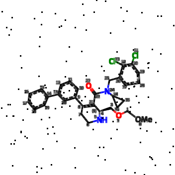 COCOC[C@H]1NCCC(c2cccc(-c3ccccc3)c2)=C1C(=O)N(Cc1cccc(Cl)c1Cl)C1CC1